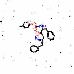 Cc1ccc(OC(=O)NC(Cc2ccccc2)C2CC(Cc3ccccc3)=NO2)cc1